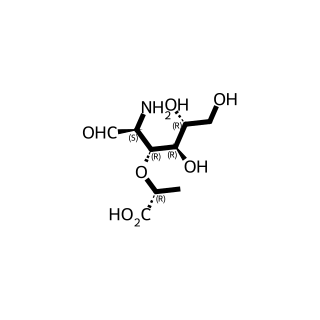 C[C@@H](O[C@@H]([C@H](O)[C@H](O)CO)[C@H](N)C=O)C(=O)O